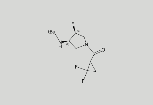 CC(C)(C)N[C@@H]1CN(C(=O)C2CC2(F)F)C[C@@H]1F